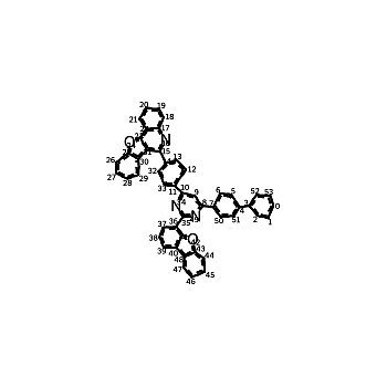 c1ccc(-c2ccc(-c3cc(-c4ccc(-c5nc6ccccc6c6oc7ccccc7c56)cc4)nc(-c4cccc5c4oc4ccccc45)n3)cc2)cc1